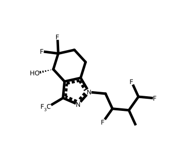 CC(C(F)F)C(F)Cn1nc(C(F)(F)F)c2c1CCC(F)(F)[C@H]2O